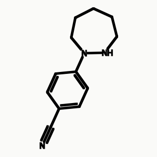 N#Cc1ccc(N2CCCCCN2)cc1